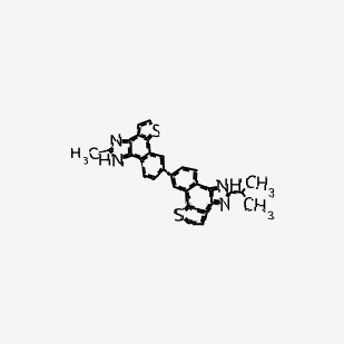 Cc1nc2c3ccsc3c3cc(-c4ccc5c(c4)c4sccc4c4nc(C(C)C)[nH]c54)ccc3c2[nH]1